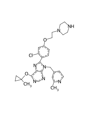 Cc1cc(Cn2c(-c3ccc(OCCN4CCNCC4)cc3Cl)nc3c(OC4(C)CC4)ncnc32)ccn1